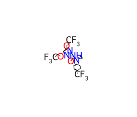 O=C(Nc1nc(OCC(F)(F)F)cc(OCC(F)(F)F)n1)N(C1=CC=C(C(F)(F)F)CC1)C1CC1